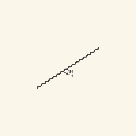 CCCCCCCCCCCCCCCCCC(CCCCCCCCCCCCCCCC)NC(=O)O